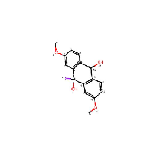 COc1ccc2c(c1)C(O)(I)c1cc(OC)ccc1C2O